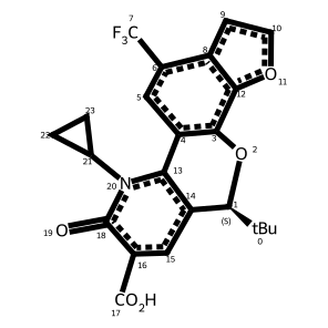 CC(C)(C)[C@@H]1Oc2c(cc(C(F)(F)F)c3ccoc23)-c2c1cc(C(=O)O)c(=O)n2C1CC1